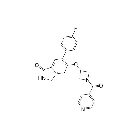 O=C1NCc2cc(OC3CN(C(=O)c4ccncc4)C3)c(-c3ccc(F)cc3)cc21